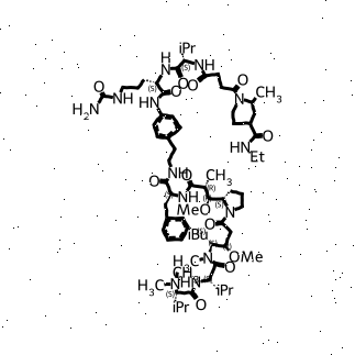 CCNC(=O)C1CCN(C(=O)CCC(=O)N[C@H](C(=O)N[C@@H](CCCNC(N)=O)C(=O)Nc2ccc(CCNC(=O)[C@H](Cc3ccccc3)NC(=O)[C@H](C)[C@@H](OC)[C@@H]3CCCN3C(=O)C[C@@H](OC)[C@H]([C@@H](C)CC)N(C)C(=O)[C@@H](NC(=O)[C@H](C(C)C)N(C)C)C(C)C)cc2)C(C)C)C(C)C1